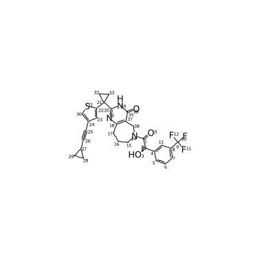 O=C([C@H](O)c1cccc(C(F)(F)F)c1)N1CCCc2nc(C3(c4cc(C#CC5CC5)cs4)CC3)[nH]c(=O)c2C1